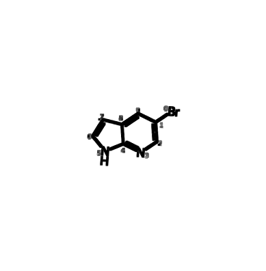 Brc1cnc2[nH]c[c]c2c1